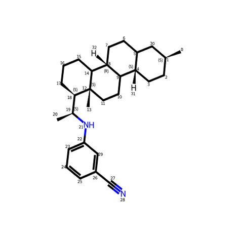 C[C@H]1CC[C@H]2C(CC[C@@H]3C2CC[C@@]2(C)C3CCC[C@@H]2[C@H](C)Nc2cccc(C#N)c2)C1